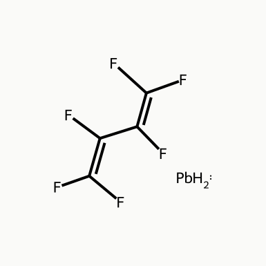 FC(F)=C(F)C(F)=C(F)F.[PbH2]